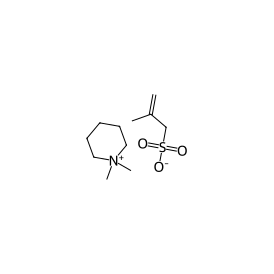 C=C(C)CS(=O)(=O)[O-].C[N+]1(C)CCCCC1